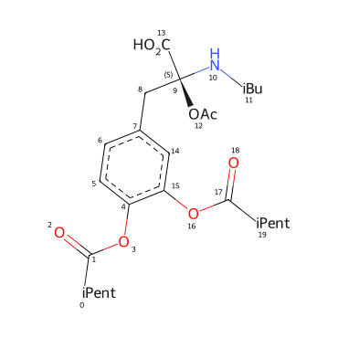 CCCC(C)C(=O)Oc1ccc(C[C@](NC(C)CC)(OC(C)=O)C(=O)O)cc1OC(=O)C(C)CCC